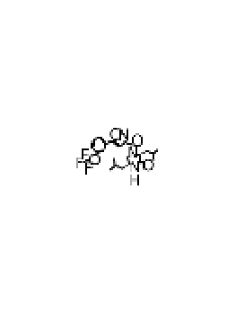 CC(C)C[C@H]1CN(C(=O)c2cc(-c3cccc(OC(F)(F)F)c3)on2)[C@@H](CC(C)C)C(=O)N1